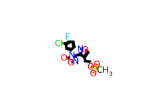 CS(=O)(=O)OCCc1conc1-c1noc(=O)n1-c1ccc(F)c(Cl)c1